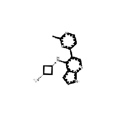 Cc1nccc(-c2cnc3[nH]ccc3c2N[C@H]2C[C@@H](N)C2)n1